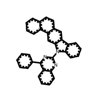 c1ccc(-c2nc(-n3c4ccccc4c4cc5ccc6ccccc6c5cc43)nc3ccccc23)cc1